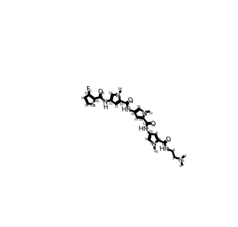 CN(C)CCNC(=O)c1cc(NC(=O)c2cc(NC(=O)c3cc(NC(=O)c4sccc4F)cn3C)cn2C)cn1C